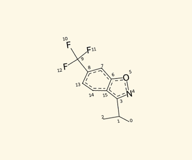 CC(C)c1noc2cc(C(F)(F)F)ccc12